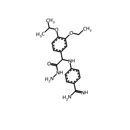 CCOc1cc(C(Nc2ccc(C(=N)N)cc2)C(=O)NN)ccc1OC(C)C